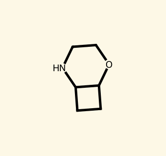 C1COC2CCC2N1